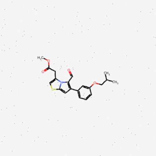 COC(=O)Cc1csc2cc(-c3cccc(OCC(C)C)c3)c(C=O)n12